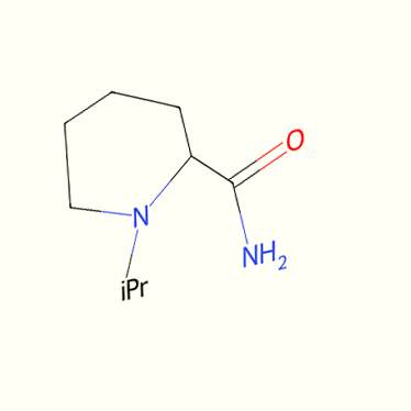 CC(C)N1CCCCC1C(N)=O